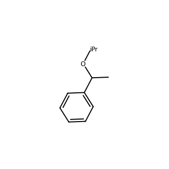 CC(C)OC(C)c1ccccc1